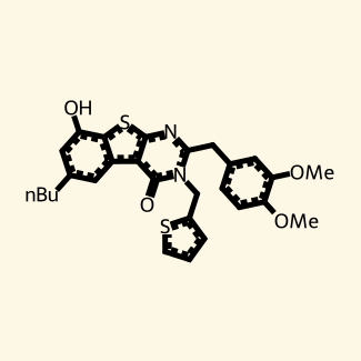 CCCCc1cc(O)c2sc3nc(Cc4ccc(OC)c(OC)c4)n(Cc4cccs4)c(=O)c3c2c1